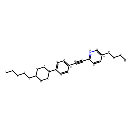 CCCCCC1CCC(c2ccc(C#Cc3ccc(CCCC)cn3)cc2)CC1